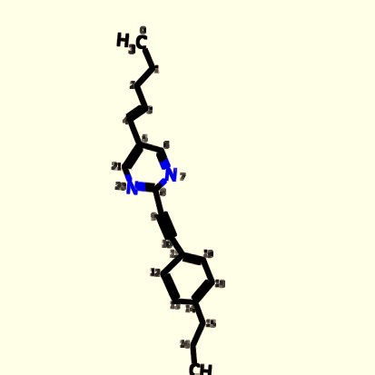 CCCC=Cc1cnc(C#Cc2ccc(CCC)cc2)nc1